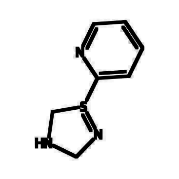 c1ccc(S2=NCNC2)nc1